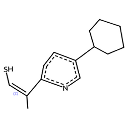 C/C(=C/S)c1ccc(C2CCCCC2)cn1